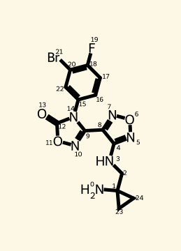 NC1(CNc2nonc2-c2noc(=O)n2-c2ccc(F)c(Br)c2)CC1